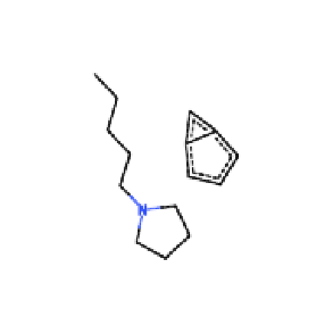 CCCCCN1CCCC1.c1cc2cc-2c1